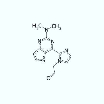 CN(C)c1nc(-c2nccn2CC=O)c2sccc2n1